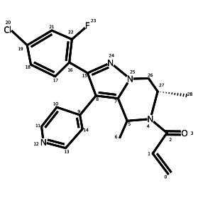 C=CC(=O)N1C(C)c2c(-c3ccncc3)c(-c3ccc(Cl)cc3F)nn2C[C@@H]1C